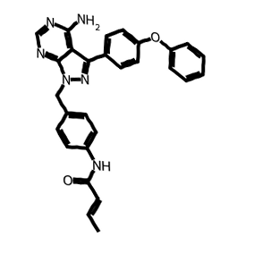 CC=CC(=O)Nc1ccc(Cn2nc(-c3ccc(Oc4ccccc4)cc3)c3c(N)ncnc32)cc1